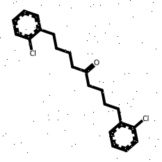 O=C(CCCCc1ccccc1Cl)CCCCc1ccccc1Cl